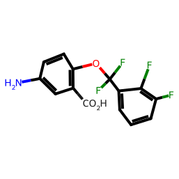 Nc1ccc(OC(F)(F)c2cccc(F)c2F)c(C(=O)O)c1